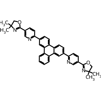 CC1(C)COC(c2ccc(-c3ccc4c5ccc(-c6ccc(C7=NC(C)(C)CO7)cn6)cc5c5ccccc5c4c3)nc2)=N1